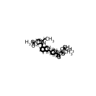 CCc1nc(-c2cccc3cc(-c4ccc(C5(NC(=O)OC(C)(C)C)COC5)nc4)ncc23)c2n1CCN(C(C)=O)C2